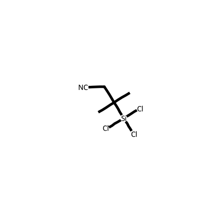 CC(C)(CC#N)[Si](Cl)(Cl)Cl